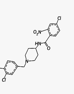 O=C(NC1CCN(Cc2ccc(Cl)c(Cl)c2)CC1)c1ccc(Cl)cc1[N+](=O)[O-]